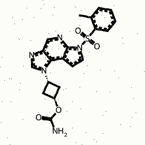 Cc1ccccc1S(=O)(=O)n1ccc2c1ncc1ncn([C@H]3C[C@H](OC(N)=O)C3)c12